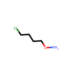 NOCCCCCl